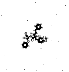 N[C@@](Cc1ccc2c(c1)OCO2)(C(=O)CCc1ccccc1)C(=O)N[C@@H]1C(=O)N[C@H]1Oc1ccccc1